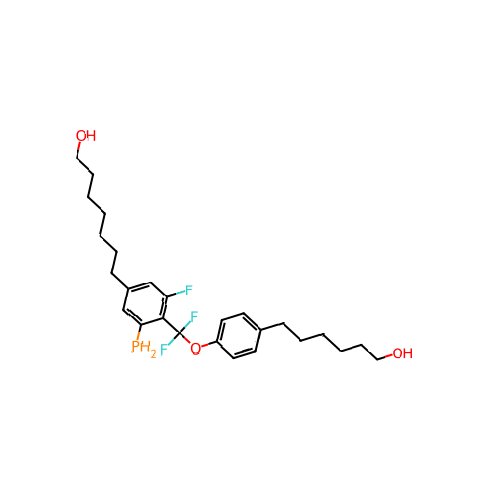 OCCCCCCCc1cc(F)c(C(F)(F)Oc2ccc(CCCCCCO)cc2)c(P)c1